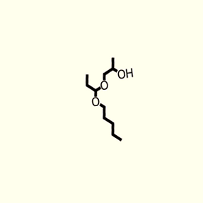 CCCCCOC(CC)OCC(C)O